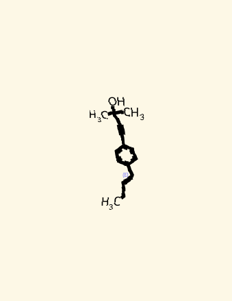 CC/C=C/c1ccc(C#CC(C)(C)O)cc1